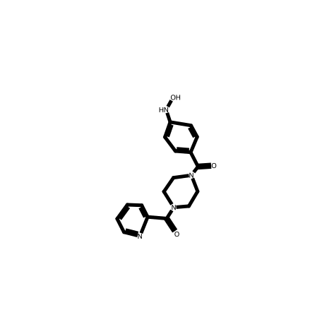 O=C(c1ccc(NO)cc1)N1CCN(C(=O)c2ccccn2)CC1